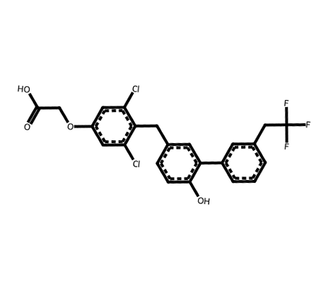 O=C(O)COc1cc(Cl)c(Cc2ccc(O)c(-c3cccc(CC(F)(F)F)c3)c2)c(Cl)c1